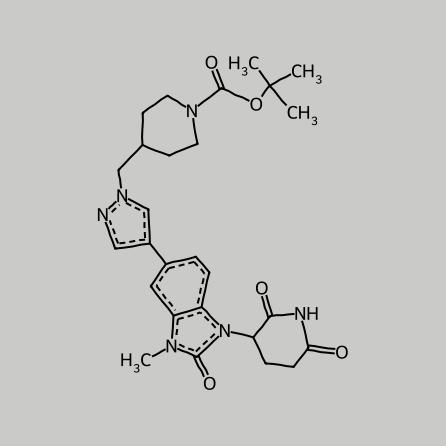 Cn1c(=O)n(C2CCC(=O)NC2=O)c2ccc(-c3cnn(CC4CCN(C(=O)OC(C)(C)C)CC4)c3)cc21